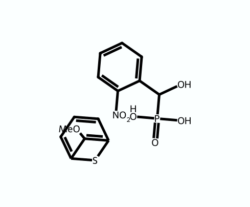 COc1c2cccc1S2.O=[N+]([O-])c1ccccc1C(O)P(=O)(O)O